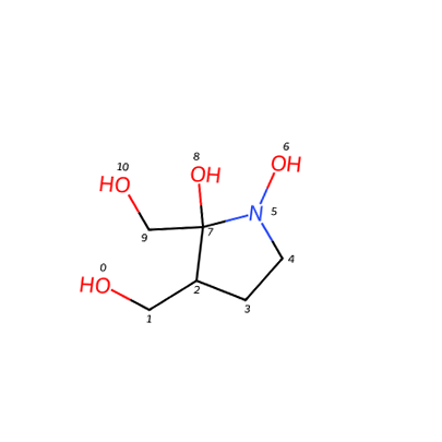 OCC1CCN(O)C1(O)CO